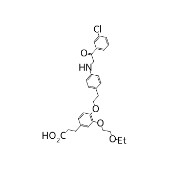 CCOCCOc1cc(CCC(=O)O)ccc1OCCc1ccc(NCC(=O)c2cccc(Cl)c2)cc1